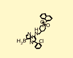 Bc1cnn2c(NCC3CCN(S(=O)(=O)c4cccc5ccccc45)CC3)cc(-c3ccccc3Cl)nc12